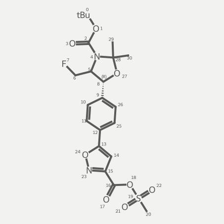 CC(C)(C)OC(=O)N1C(CF)[C@@H](c2ccc(-c3cc(C(=O)OS(C)(=O)=O)no3)cc2)OC1(C)C